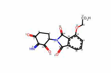 N=C1C(=O)CCC(N2C(=O)c3cccc(OCC(=O)O)c3C2=O)C1=O